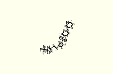 O=S(=O)(c1ccc(-c2cccnc2)cc1)n1ccc(C=Cc2noc(C(F)(F)F)n2)c1